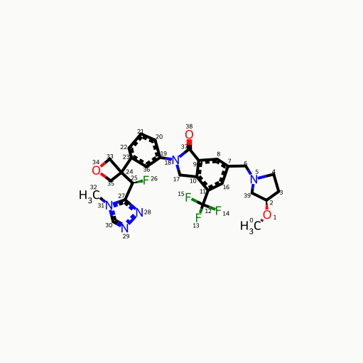 CO[C@@H]1CCN(Cc2cc3c(c(C(F)(F)F)c2)CN(c2cccc(C4([C@@H](F)c5nncn5C)COC4)c2)C3=O)C1